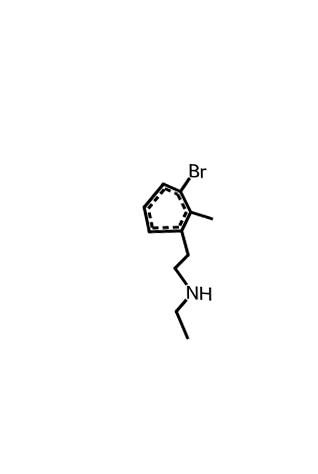 CCNCCc1cccc(Br)c1C